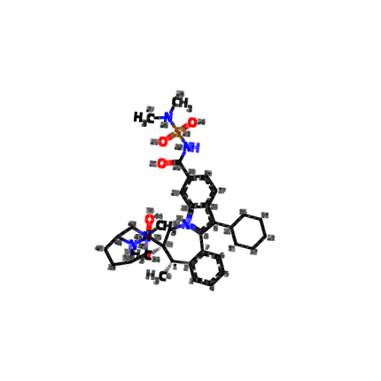 C[C@H]1c2ccccc2-c2c(C3CCCCC3)c3ccc(C(=O)NS(=O)(=O)N(C)C)cc3n2C[C@]1(C)C(=O)N1C2CCC1CN(C)C2